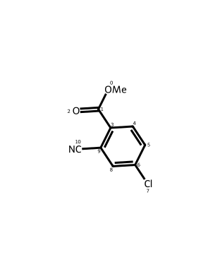 COC(=O)c1ccc(Cl)cc1C#N